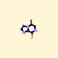 Cc1cnc(I)c2nccn12